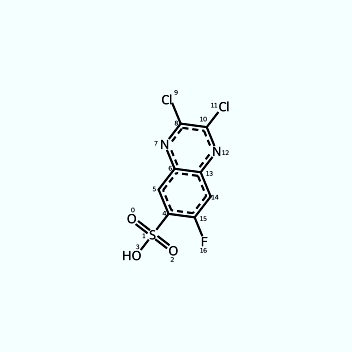 O=S(=O)(O)c1cc2nc(Cl)c(Cl)nc2cc1F